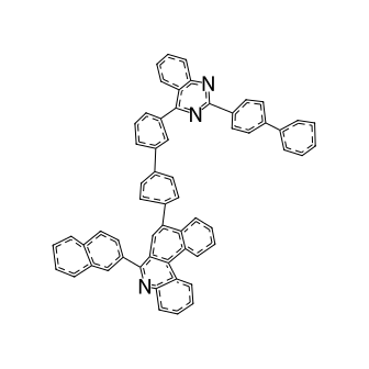 c1ccc(-c2ccc(-c3nc(-c4cccc(-c5ccc(-c6cc7c(-c8ccc9ccccc9c8)nc8ccccc8c7c7ccccc67)cc5)c4)c4ccccc4n3)cc2)cc1